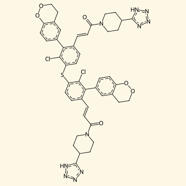 O=C(/C=C/c1ccc(Sc2ccc(/C=C/C(=O)N3CCC(c4nnn[nH]4)CC3)c(-c3ccc4c(c3)CCOO4)c2Cl)c(Cl)c1-c1ccc2c(c1)CCOO2)N1CCC(c2nnn[nH]2)CC1